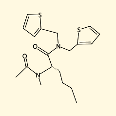 CCCC[C@@H](C(=O)N(Cc1cccs1)Cc1cccs1)N(C)C(C)=O